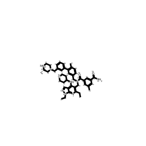 CCc1nc2c(cnn2CC)c(NC2CCOCC2)c1CN(Cc1ccc(C)c(-c2cccc(CN3CCN[C@@H](C)C3)c2)c1)C(=O)c1cc(C)cc(C(N)=O)c1